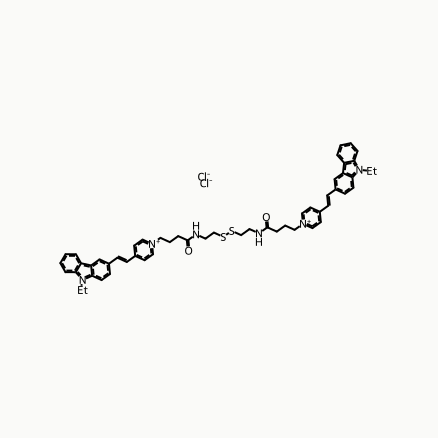 CCn1c2ccccc2c2cc(/C=C/c3cc[n+](CCCC(=O)NCCSSCCNC(=O)CCC[n+]4ccc(/C=C/c5ccc6c(c5)c5ccccc5n6CC)cc4)cc3)ccc21.[Cl-].[Cl-]